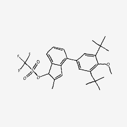 COc1c(C(C)(C)C)cc(-c2cccc3c2C=C(C)C3OS(=O)(=O)C(F)(F)F)cc1C(C)(C)C